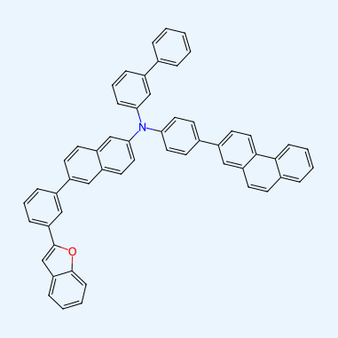 c1ccc(-c2cccc(N(c3ccc(-c4ccc5c(ccc6ccccc65)c4)cc3)c3ccc4cc(-c5cccc(-c6cc7ccccc7o6)c5)ccc4c3)c2)cc1